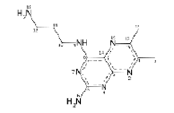 Cc1nc2nc(N)nc(NCCCN)c2nc1C